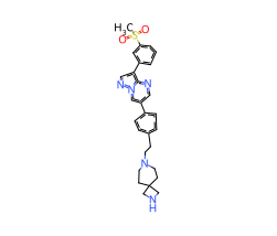 CS(=O)(=O)c1cccc(-c2cnn3cc(-c4ccc(CCN5CCC6(CC5)CNC6)cc4)cnc23)c1